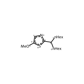 CCCCCCC(CCCCCC)c1ncc(OC)s1